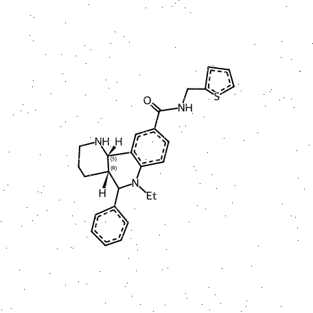 CCN1c2ccc(C(=O)NCc3cccs3)cc2[C@H]2NCCC[C@H]2C1c1ccccc1